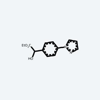 CCOC(=O)C(O)c1ccc(-n2cccn2)cc1